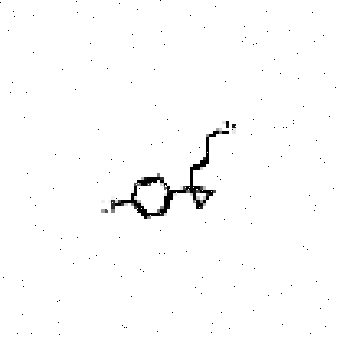 Clc1ccc(C2(C=CCBr)CC2)cc1